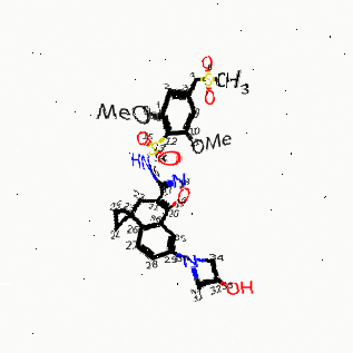 COc1cc(CS(C)(=O)=O)cc(OC)c1S(=O)(=O)Nc1noc2c1CC1(CC1)c1ccc(N3CC(O)C3)cc1-2